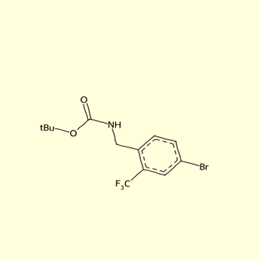 CC(C)(C)OC(=O)NCc1ccc(Br)cc1C(F)(F)F